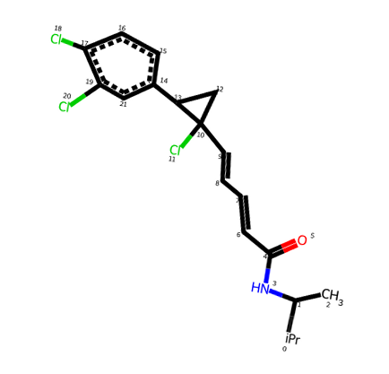 CC(C)C(C)NC(=O)/C=C/C=C/C1(Cl)CC1c1ccc(Cl)c(Cl)c1